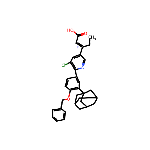 CC/C(=C\C(=O)O)c1cnc(-c2ccc(OCc3ccccc3)c(C34CC5CC(CC(C5)C3)C4)c2)c(Cl)c1